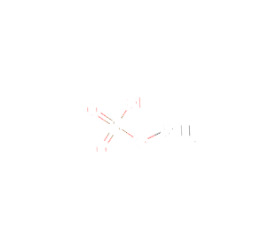 O=S(=O)(O)[O][SbH2]